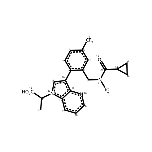 CCN(Cc1cc(C(F)(F)F)ccc1-c1cn(C(C)C(=O)O)c2cccnc12)C(=O)C1CC1